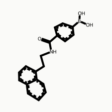 O=C(NCCc1cccc2ccccc12)c1ccc(B(O)O)cc1